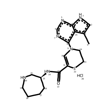 Cc1c[nH]c2ncnc(N3C=C(C(=O)N[C@H]4CCCCNC4)SCC3)c12.Cl